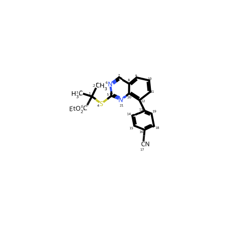 CCOC(=O)C(C)(C)Sc1ncc2cccc(-c3ccc(C#N)cc3)c2n1